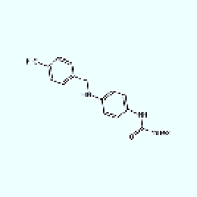 CCCCCCC(=O)Nc1ccc(NCc2ccc(C(F)(F)F)cc2)cc1